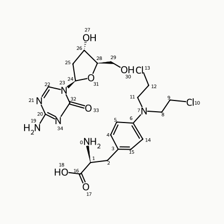 N[C@@H](Cc1ccc(N(CCCl)CCCl)cc1)C(=O)O.Nc1ncn([C@H]2C[C@H](O)[C@@H](CO)O2)c(=O)n1